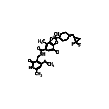 CSc1cc(C)[nH]c(=O)c1CNC(=O)c1cc(Cl)c2c(c1C)O[C@](C)(C1CCN(CC3CC3(F)F)CC1)O2